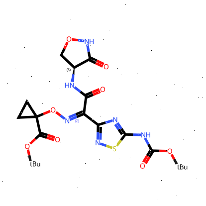 CC(C)(C)OC(=O)Nc1nc(/C(=N/OC2(C(=O)OC(C)(C)C)CC2)C(=O)N[C@H]2CONC2=O)ns1